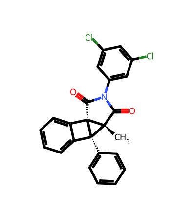 C[C@]12C(=O)N(c3cc(Cl)cc(Cl)c3)C(=O)[C@]13c1ccccc1[C@]23c1ccccc1